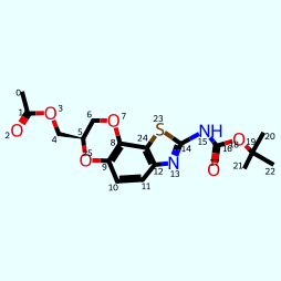 CC(=O)OC[C@H]1COc2c(ccc3nc(NC(=O)OC(C)(C)C)sc23)O1